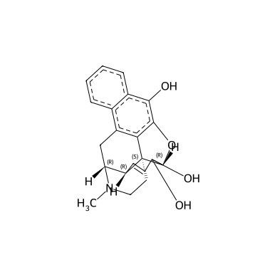 CN1CC[C@@]23c4c5c(O)c6ccccc6c4C[C@@H]1[C@@H]2C=CC(O)(O)[C@@H]3O5